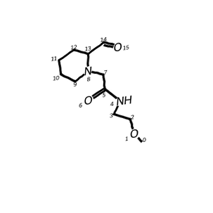 COCCNC(=O)CN1CCCCC1C=O